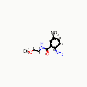 CCOCCNC(=O)c1cc([N+](=O)[O-])ccc1N